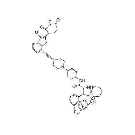 O=C1CCC(N2Cc3c(C#CC4CCN(C56CCC(NC(=O)[C@@H]7NC8(CCCCC8)[C@@]8(C(=O)Nc9cc(F)ccc98)[C@H]7c7cccc(F)c7F)(CC5)CC6)CC4)cccc3C2=O)C(=O)N1